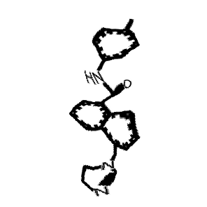 Cc1ccc(NC(=O)c2cccc3c(N4C=NCC4)cccc23)cc1